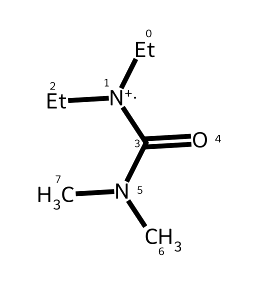 CC[N+](CC)C(=O)N(C)C